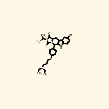 CCN(CC)CCCOc1ccc(C2c3[nH]c4ccc(Br)cc4c3CC3C(=O)N(C(C)C)C(=S)N32)cc1